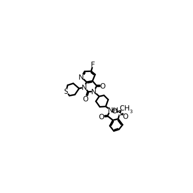 CS(=O)(=O)c1ccccc1C(=O)NC1CCC(n2c(=O)c3cc(F)cnc3n(C3CCSCC3)c2=O)CC1